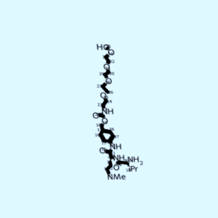 CNCCC[C@H](NC(=O)[C@@H](N)C(C)C)C(=O)Nc1ccc(COC(=O)NCCOCCOCCOCCOO)cc1